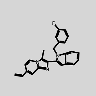 C=Cc1ccn2c(C)c(-c3cc4ccccc4n3Cc3cccc(F)c3)nc2c1